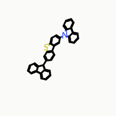 c1ccc2c(c1)-c1ccccc1C2c1ccc2c(c1)sc1ccc(-n3c4ccccc4c4ccccc43)cc12